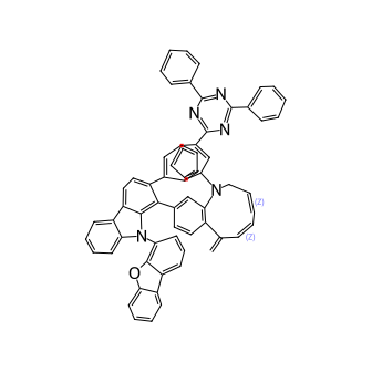 C=C1/C=C\C=C/CN(c2cccc(-c3nc(-c4ccccc4)nc(-c4ccccc4)n3)c2)c2cc(-c3c(-c4ccccc4)ccc4c5ccccc5n(-c5cccc6c5oc5ccccc56)c34)ccc21